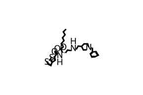 CCCCCCOC(=O)[C@H](CCCNCCC1CCN(Cc2ccccc2)CC1)NC(=O)c1cc2ccsc2s1